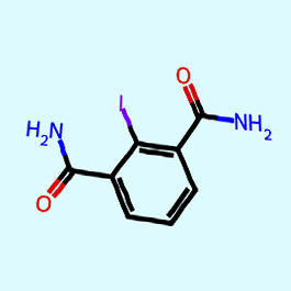 NC(=O)c1cccc(C(N)=O)c1I